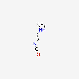 CNCCN=C=O